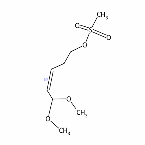 COC(/C=C\CCOS(C)(=O)=O)OC